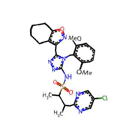 COc1cccc(OC)c1-n1c(NS(=O)(=O)C(C)C(C)c2ncc(Cl)cn2)nnc1-c1noc2c1CCCC2